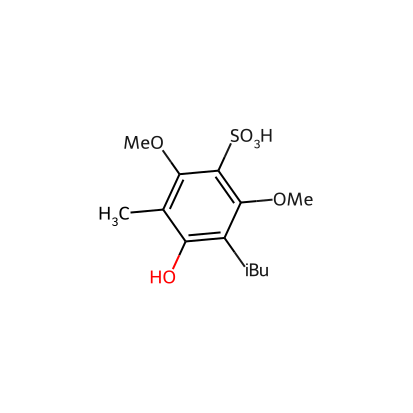 CCC(C)c1c(O)c(C)c(OC)c(S(=O)(=O)O)c1OC